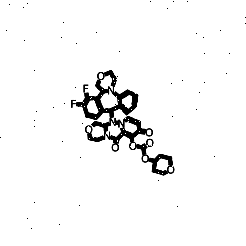 O=C(Oc1c2n(ccc1=O)N(C1c3ccccc3N3CCOCC3c3c1ccc(F)c3F)C1COCCN1C2=O)OC1CCOCC1